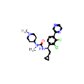 CN1CCC(N(C)C(=O)NC(CC2CC2)c2ccc(-c3cnccn3)c(Cl)c2Cl)CC1